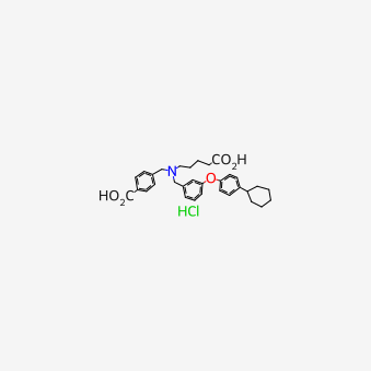 Cl.O=C(O)CCCCN(Cc1ccc(C(=O)O)cc1)Cc1cccc(Oc2ccc(C3CCCCC3)cc2)c1